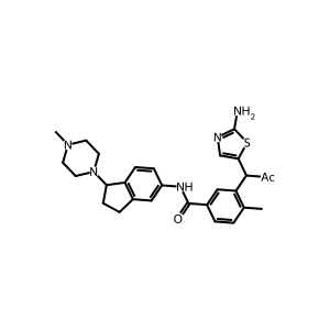 CC(=O)C(c1cnc(N)s1)c1cc(C(=O)Nc2ccc3c(c2)CCC3N2CCN(C)CC2)ccc1C